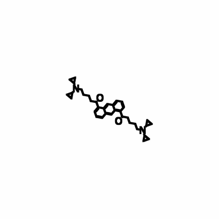 O=C(CCCCN(C1CC1)C1CC1)c1cccc2cc3c(C(=O)CCCCN(C4CC4)C4CC4)cccc3cc12